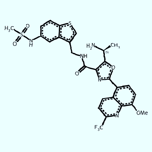 COc1ccc(-c2nc(C(=O)NCc3csc4ccc(NS(C)(=O)=O)cc34)c([C@H](C)N)o2)c2ccc(C(F)(F)F)nc12